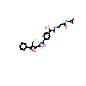 O=C(CCNC(=O)C(O)c1ccc(-c2noc(-c3onc(-c4ccccc4)c3CF)n2)cc1)NC1CC1